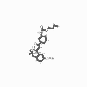 C=CCCOC(=O)Nc1cccc(C(=O)C=C2NC(C)(C)Cc3ccc(OC)cc32)c1